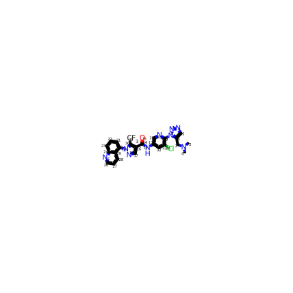 CN(C)Cc1cnnn1-c1ncc(NC(=O)c2cnn(-c3cccc4ncccc34)c2C(F)(F)F)cc1Cl